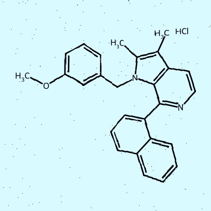 COc1cccc(Cn2c(C)c(C)c3ccnc(-c4cccc5ccccc45)c32)c1.Cl